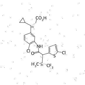 C[C@H](C(C(=O)Nc1cc([C@@H](CC(=O)O)C2CC2)ccc1Cl)c1ccc(Cl)s1)C(F)(F)F